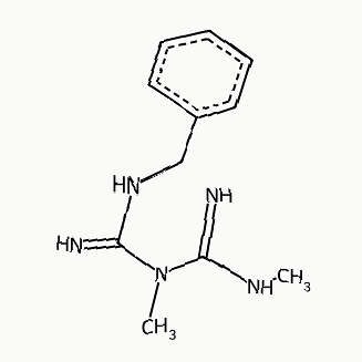 CNC(=N)N(C)C(=N)NCc1ccccc1